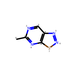 Cc1ncc2nnsc2n1